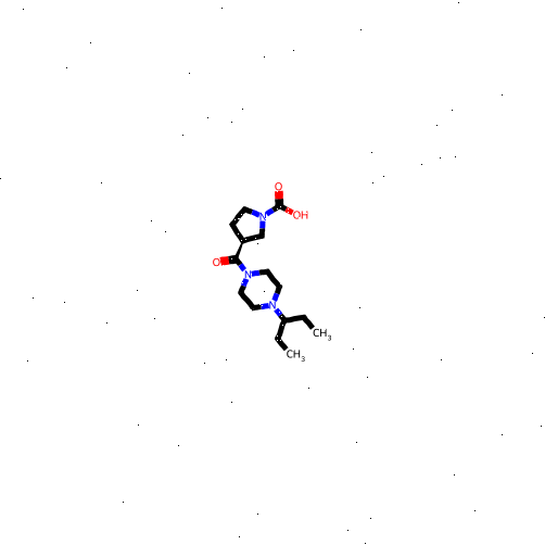 CCC(CC)N1CCN(C(=O)[C@H]2CCN(C(=O)O)C2)CC1